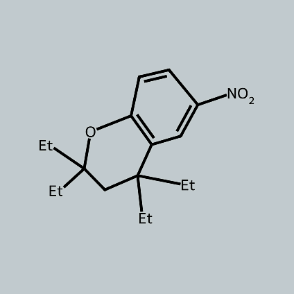 CCC1(CC)CC(CC)(CC)c2cc([N+](=O)[O-])ccc2O1